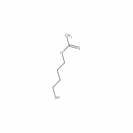 CC(=S)OCCCCS